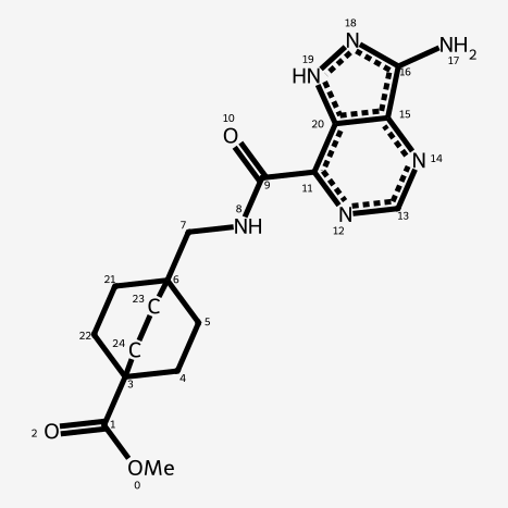 COC(=O)C12CCC(CNC(=O)c3ncnc4c(N)n[nH]c34)(CC1)CC2